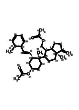 C=C1CCC2[C@H](COC(C)=O)C([C@@]3(C)CC[C@H](OC(C)=O)C[C@@H]3/C=C/C3C=CC=CN3C)CC[C@]12C